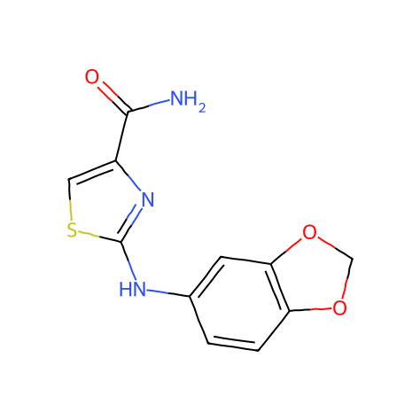 NC(=O)c1csc(Nc2ccc3c(c2)OCO3)n1